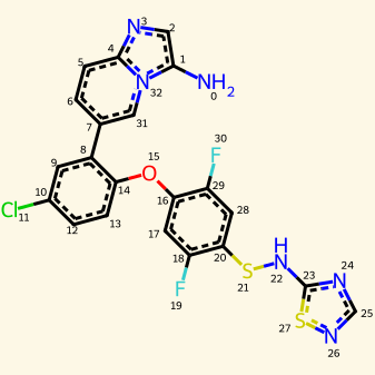 Nc1cnc2ccc(-c3cc(Cl)ccc3Oc3cc(F)c(SNc4ncns4)cc3F)cn12